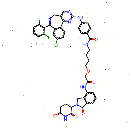 O=C1CCC(N2Cc3c(NC(=O)COCCCCNC(=O)c4ccc(Nc5ncc6c(n5)-c5ccc(Cl)cc5C(c5c(F)cccc5F)=NC6)cc4)cccc3C2=O)C(=O)N1